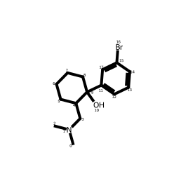 CN(C)CC1CCCCC1(O)c1cccc(Br)c1